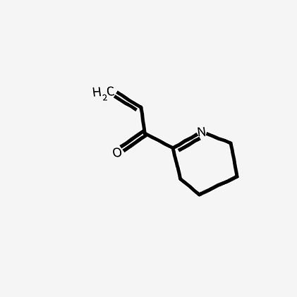 C=CC(=O)C1=NCCCC1